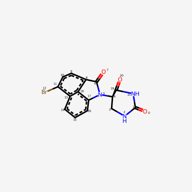 O=C1NCC(N2C(=O)c3ccc(Br)c4cccc2c34)C(=O)N1